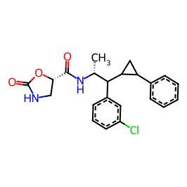 C[C@@H](NC(=O)[C@@H]1CNC(=O)O1)C(c1cccc(Cl)c1)C1CC1c1ccccc1